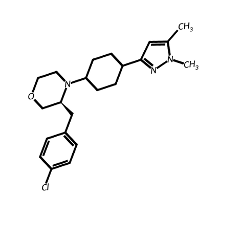 Cc1cc(C2CCC(N3CCOC[C@@H]3Cc3ccc(Cl)cc3)CC2)nn1C